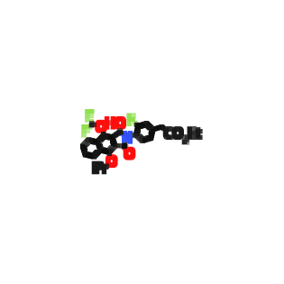 CCOC(=O)Cc1ccc(N2C(=O)c3c(c(OC(F)F)c4ccccc4c3OC(C)C)C2O)c(F)c1